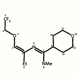 CCC(=C/OCC(F)(F)F)/N=C(\NC)C1CCOCC1